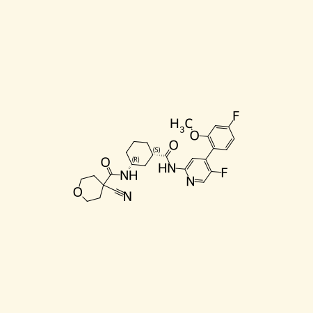 COc1cc(F)ccc1-c1cc(NC(=O)[C@H]2CCC[C@@H](NC(=O)C3(C#N)CCOCC3)C2)ncc1F